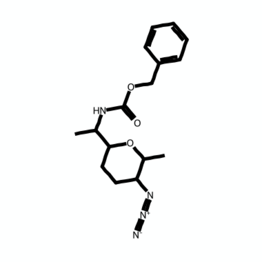 CC(NC(=O)OCc1ccccc1)C1CCC(N=[N+]=[N-])C(C)O1